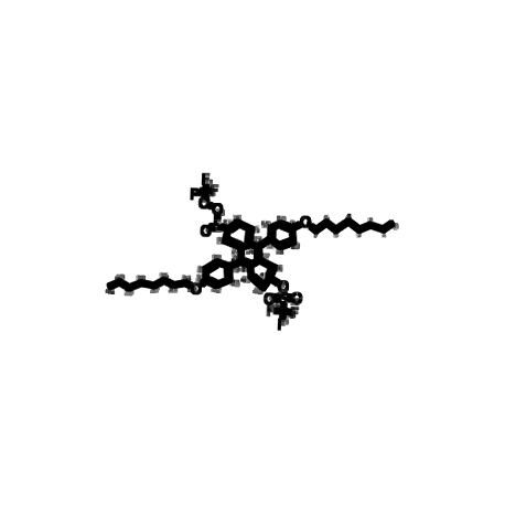 CCCCCCCCOc1ccc(-c2c3ccc(S(=O)OOC(F)(F)F)cc3c(-c3ccc(OCCCCCCCC)cc3)c3ccc(OS(=O)(=O)C(F)(F)F)cc23)cc1